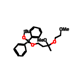 COCCOC(C)(CCO[Si](OC(C)(C)C)(c1ccccc1)c1ccccc1)OC